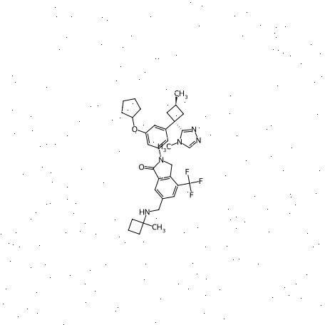 Cn1cnnc1[C@]1(c2cc(OC3CCCC3)cc(N3Cc4c(cc(CNC5(C)CCC5)cc4C(F)(F)F)C3=O)c2)C[C@@H](C)C1